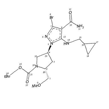 COC[C@H]1C[C@H](n2nc(Br)c(C(N)=O)c2NCC2CC2)CN1C(=O)OC(C)(C)C